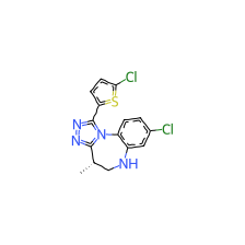 C[C@H]1CNc2cc(Cl)ccc2-n2c(-c3ccc(Cl)s3)nnc21